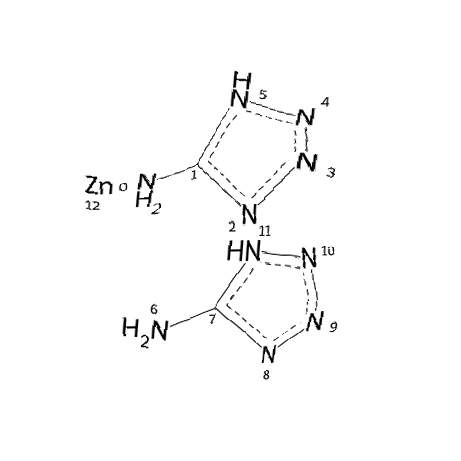 Nc1nnn[nH]1.Nc1nnn[nH]1.[Zn]